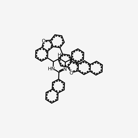 c1ccc(C2N=C(c3ccc4ccccc4c3)NC(c3cccc4oc5cccc(-c6ccc7oc8cc9ccccc9cc8c7c6)c5c34)N2)cc1